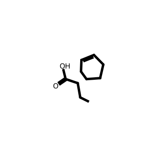 C1=CCCCC1.CCCC(=O)O